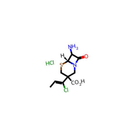 CC=C(Cl)C1(C(=O)O)CS[C@@H]2C(N)C(=O)N2C1.Cl